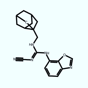 N#C/N=C(\NCC12CC3CC(CC1C3)C2)Nc1cccc2ncoc12